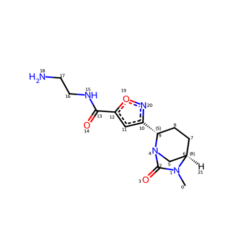 CN1C(=O)N2C[C@H]1CC[C@H]2c1cc(C(=O)NCCN)on1